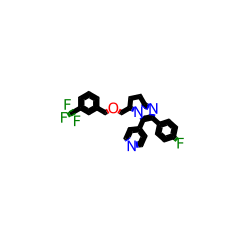 Fc1ccc(-c2nc3n(c2-c2ccncc2)C(COCc2cccc(C(F)(F)F)c2)CC3)cc1